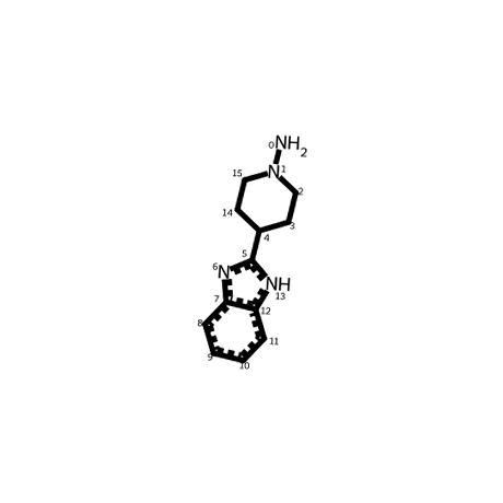 NN1CCC(c2nc3ccccc3[nH]2)CC1